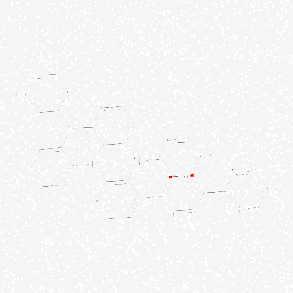 c1ccc(N2c3ccccc3B3c4cccc(-c5ccc(-c6ncccn6)cc5)c4N(c4ccccc4)c4cccc2c43)cc1